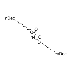 CCCCCCCCCCCCCCCCCCOC(=O)CN(C)CC(=O)OCCCCCCCCCCCCCCCCCC